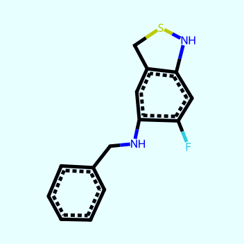 Fc1cc2c(cc1NCc1ccccc1)CSN2